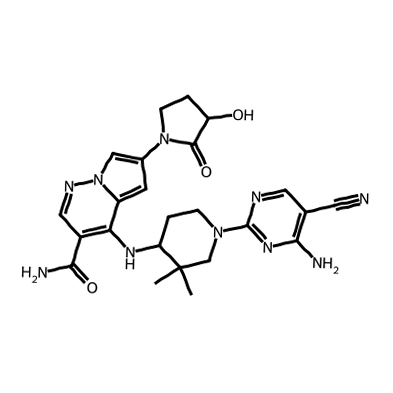 CC1(C)CN(c2ncc(C#N)c(N)n2)CCC1Nc1c(C(N)=O)cnn2cc(N3CCC(O)C3=O)cc12